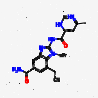 CCCn1c(NC(=O)/C(=C/C(C)=N)NCC)nc2cc(C(N)=O)cc(CC#N)c21